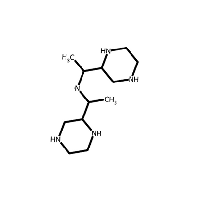 CC([N]C(C)C1CNCCN1)C1CNCCN1